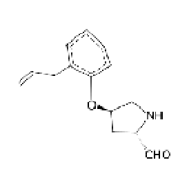 C=CCc1ccccc1O[C@H]1CN[C@H](C=O)C1